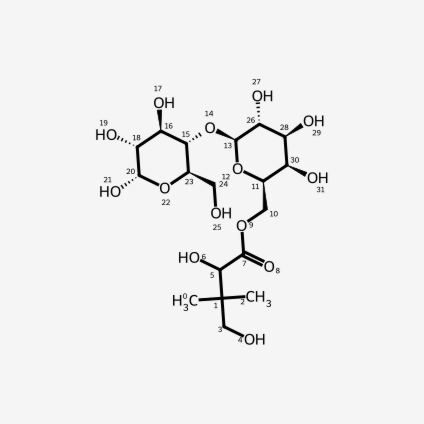 CC(C)(CO)C(O)C(=O)OC[C@H]1O[C@@H](O[C@H]2[C@H](O)[C@@H](O)[C@@H](O)O[C@@H]2CO)[C@H](O)[C@@H](O)[C@H]1O